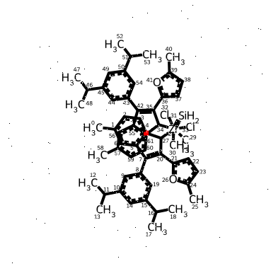 Cc1ccc2c(c1)C(c1cc(C(C)C)cc(C(C)C)c1)=C(c1ccc(C)o1)[CH]2[Zr]([CH3])([CH3])(=[SiH2])([Cl])([Cl])[CH]1C(c2ccc(C)o2)=C(c2cc(C(C)C)cc(C(C)C)c2)c2cc(C)ccc21